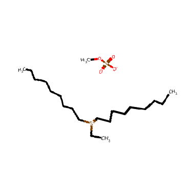 CCCCCCCCC[S+](CC)CCCCCCCCC.COS(=O)(=O)[O-]